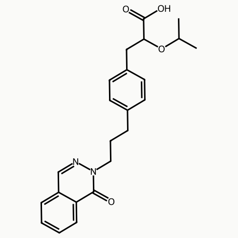 CC(C)OC(Cc1ccc(CCCn2ncc3ccccc3c2=O)cc1)C(=O)O